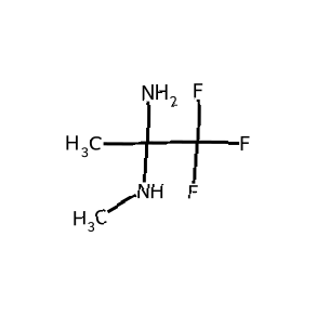 CNC(C)(N)C(F)(F)F